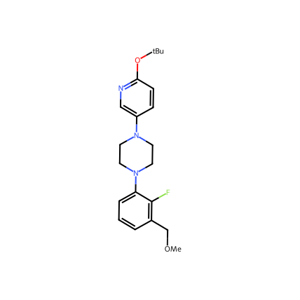 COCc1cccc(N2CCN(c3ccc(OC(C)(C)C)nc3)CC2)c1F